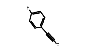 FC#Cc1ccc(F)cc1